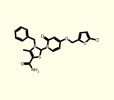 CC1=C(C(N)=O)SC(n2ccc(OCc3ccc(Cl)s3)cc2=O)N1Cc1ccccc1